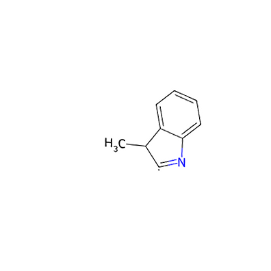 CC1[C]=Nc2ccccc21